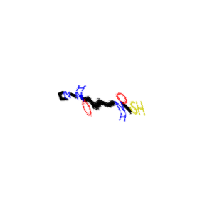 O=C(CS)NCCCCCC(=O)NCCN1CCCC1